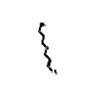 [CH2]/C=C/COCCCC